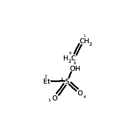 C=C.CCS(=O)(=O)O